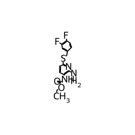 CCOC(=O)Nc1ccc(SCc2ccc(F)c(F)c2)nc1N